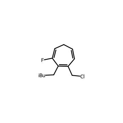 CCC(C)CC1=C(CCl)C=CCC=C1F